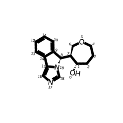 O[C@H]1CCCOC[C@@H]1[C@H]1c2ccccc2-c2cncn21